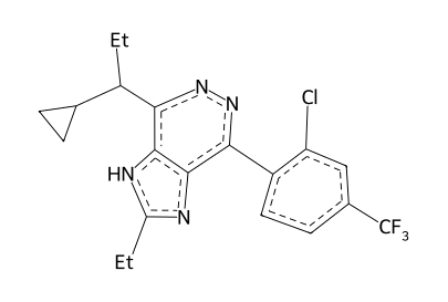 CCc1nc2c(-c3ccc(C(F)(F)F)cc3Cl)nnc(C(CC)C3CC3)c2[nH]1